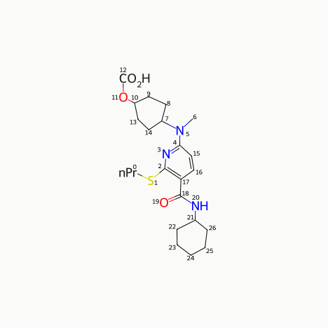 CCCSc1nc(N(C)C2CCC(OC(=O)O)CC2)ccc1C(=O)NC1CCCCC1